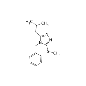 CSc1nnc(CC(C)C)n1Cc1ccccc1